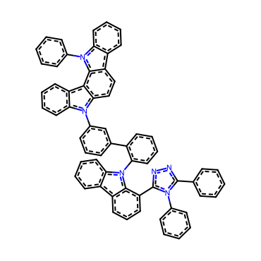 c1ccc(-c2nnc(-c3cccc4c5ccccc5n(-c5ccccc5-c5cccc(-n6c7ccccc7c7c6ccc6c8ccccc8n(-c8ccccc8)c67)c5)c34)n2-c2ccccc2)cc1